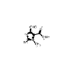 COC(=O)c1c(C=O)nc(Br)n1C